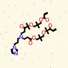 C=CC(=O)OCC(C)(C)COC(C)(C)C(=O)CCN(CCCn1ccnc1)CCC(=O)OCC(C)(C)COC(C)(C)C(=O)C=C